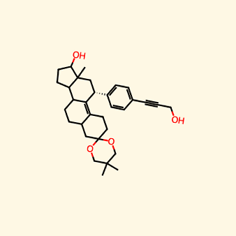 CC1(C)COC2(CCC3=C4C(CCC3C2)C2CCC(O)C2(C)C[C@@H]4c2ccc(C#CCO)cc2)OC1